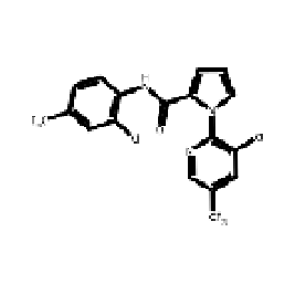 O=C(Nc1ccc(C(F)(F)F)cc1Cl)c1cccn1-c1ncc(C(F)(F)F)cc1Cl